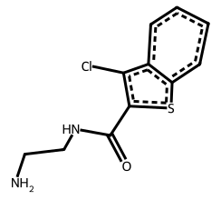 NCCNC(=O)c1sc2ccccc2c1Cl